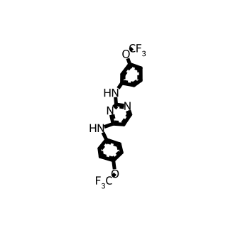 FC(F)(F)Oc1ccc(Nc2ccnc(Nc3cccc(OC(F)(F)F)c3)n2)cc1